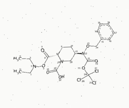 CCN(CC)OC(=O)[C@@H]1CC[C@@H](N(OCc2ccccc2)C(=O)OC(Cl)(Cl)Cl)CN1C(=O)O